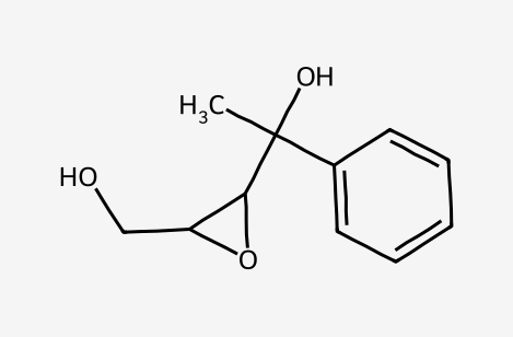 CC(O)(c1ccccc1)C1OC1CO